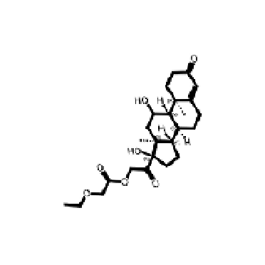 CCOCC(=O)OCC(=O)[C@@]1(O)CC[C@H]2[C@@H]3CCC4=CC(=O)CC[C@]4(C)[C@H]3C(O)C[C@@]21C